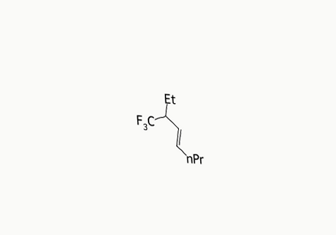 CCCC=CC(CC)C(F)(F)F